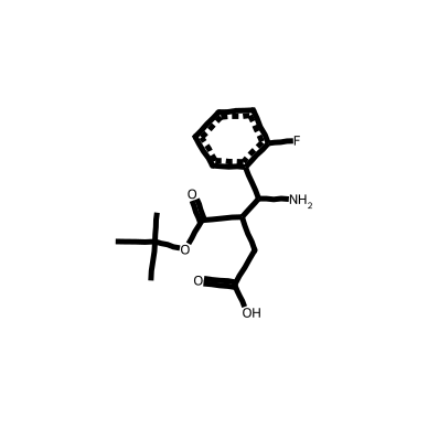 CC(C)(C)OC(=O)C(CC(=O)O)C(N)c1ccccc1F